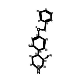 CC1C=C(OCc2ccccc2)C=CC1[C@@H]1CCNC[C@H]1F